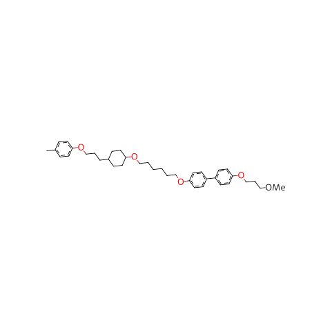 COCCCOc1ccc(-c2ccc(OCCCCCCOC3CCC(CCCOc4ccc(C)cc4)CC3)cc2)cc1